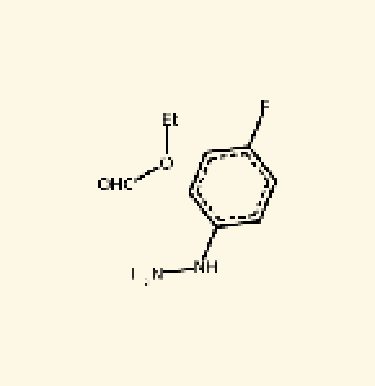 CCOC=O.NNc1ccc(F)cc1